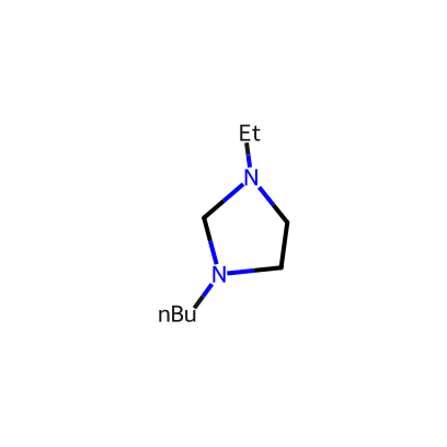 CCCCN1CCN(CC)C1